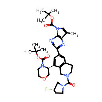 Cc1cn(C(=O)OC(C)(C)C)c2ncc(-c3cc4c(c([C@@H]5COCCN5C(=O)OC(C)(C)C)c3)CN(C(=O)N3CC[C@H](F)C3)CC4)nc12